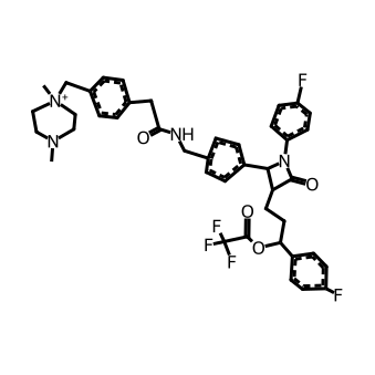 CN1CC[N+](C)(Cc2ccc(CC(=O)NCc3ccc(C4C(CCC(OC(=O)C(F)(F)F)c5ccc(F)cc5)C(=O)N4c4ccc(F)cc4)cc3)cc2)CC1